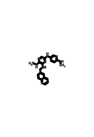 CNc1ccc(Nc2cnc(NN)c(NCc3ccc4ncccc4c3)n2)cn1